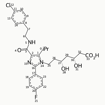 CC(C)c1c(C(=O)NCCc2ccc(Cl)cc2)nc(-c2ccc(F)cc2)n1CC[C@@H](O)C[C@@H](O)CC(=O)O